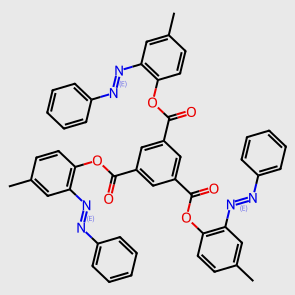 Cc1ccc(OC(=O)c2cc(C(=O)Oc3ccc(C)cc3/N=N/c3ccccc3)cc(C(=O)Oc3ccc(C)cc3/N=N/c3ccccc3)c2)c(/N=N/c2ccccc2)c1